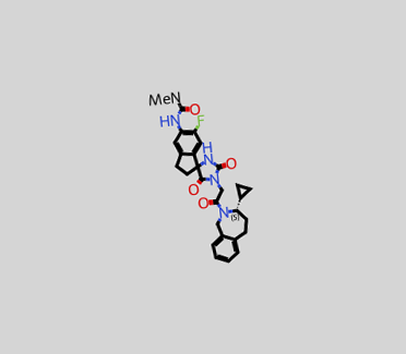 CNC(=O)Nc1cc2c(cc1F)C1(CC2)NC(=O)N(CC(=O)N2Cc3ccccc3CC[C@H]2C2CC2)C1=O